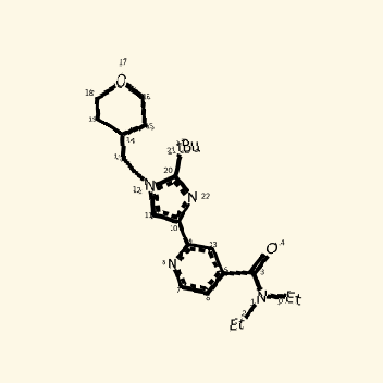 CCN(CC)C(=O)c1ccnc(-c2cn(CC3CCOCC3)c(C(C)(C)C)n2)c1